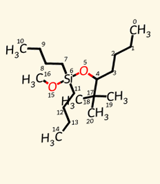 CCCCC(O[Si](CCCC)(CCCC)OC)C(C)(C)C